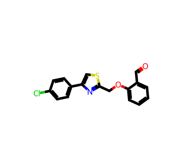 O=Cc1ccccc1OCc1nc(-c2ccc(Cl)cc2)cs1